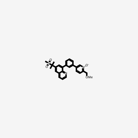 COCc1ccc(-c2cccc(-c3cc(C(C)(C)S(C)(=O)=O)cc4cccnc34)c2)c[n+]1[O-]